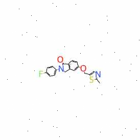 Cc1ncc(COc2ccc3c(c2)CN(c2ccc(F)cc2)C3=O)s1